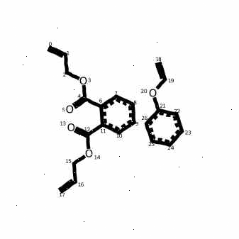 C=CCOC(=O)c1ccccc1C(=O)OCC=C.C=COc1ccccc1